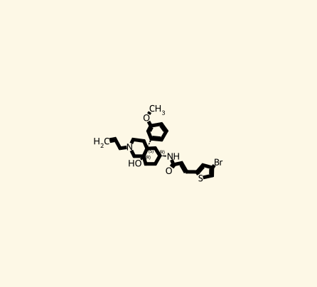 C=CCN1CC[C@@]2(c3cccc(OC)c3)C[C@H](NC(=O)C=Cc3cc(Br)cs3)CC[C@]2(O)C1